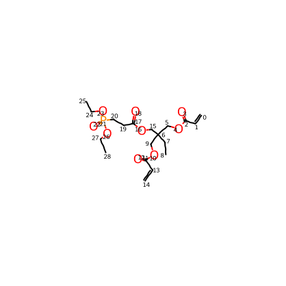 C=CC(=O)OCC(CC)(COC(=O)C=C)COC(=O)CCP(=O)(OCC)OCC